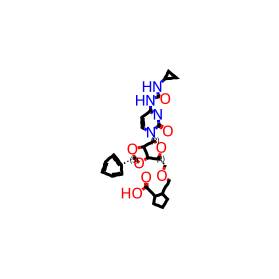 O=C(Nc1ccn([C@@H]2O[C@H](COCC3CCCC3C(=O)O)C3O[C@H](c4ccccc4)OC32)c(=O)n1)NC1CC1